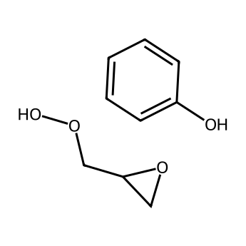 OOCC1CO1.Oc1ccccc1